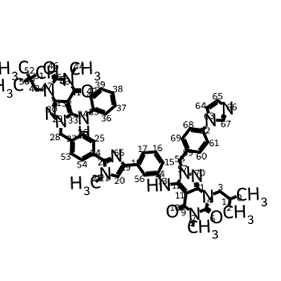 CC(C)Cn1c(=O)n(C)c(=O)c2c(Nc3cccc(-c4cn(C)c(-c5ccc(Cn6nc7c(c6Nc6ccccc6)c(=O)n(C)c(=O)n7CC(C)(C)C)cc5)n4)c3)n(Cc3ccc(-n4ccnc4)cc3)nc21